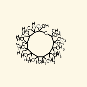 CC1(O)CC(C)(O)C(C)(O)C(C)(O)C(C)(O)C(C)(O)C(C)(O)C(C)(O)C(C)(O)C(C)(O)C(C)(O)C1(C)O